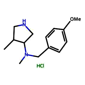 COc1ccc(CN(C)C2CNCC2C)cc1.Cl